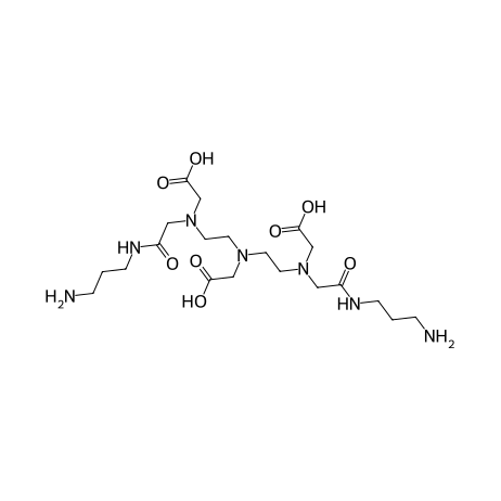 NCCCNC(=O)CN(CCN(CCN(CC(=O)O)CC(=O)NCCCN)CC(=O)O)CC(=O)O